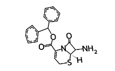 NC1C(=O)N2C(C(=O)OC(c3ccccc3)c3ccccc3)=CCS[C@H]12